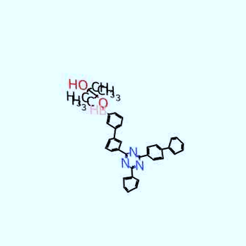 CC(C)(O)C(C)(C)OBc1cccc(-c2cccc(-c3nc(-c4ccccc4)nc(-c4ccc(-c5ccccc5)cc4)n3)c2)c1